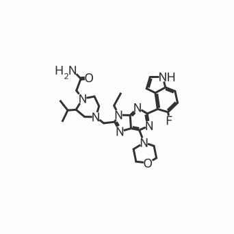 CCn1c(CN2CCN(CC(N)=O)C(C(C)C)C2)nc2c(N3CCOCC3)nc(-c3c(F)ccc4[nH]ccc34)nc21